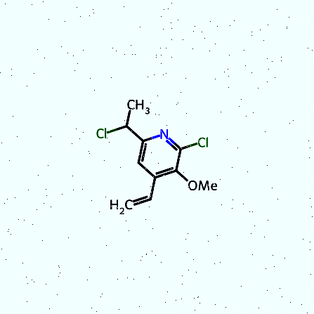 C=Cc1cc(C(C)Cl)nc(Cl)c1OC